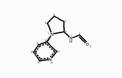 O=CNC1CCCN1c1cccnc1